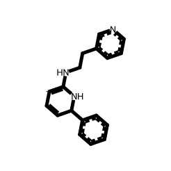 [C]1=C(NCCc2cccnc2)NC(c2ccccc2)C=C1